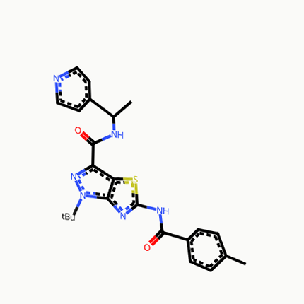 Cc1ccc(C(=O)Nc2nc3c(s2)c(C(=O)NC(C)c2ccncc2)nn3C(C)(C)C)cc1